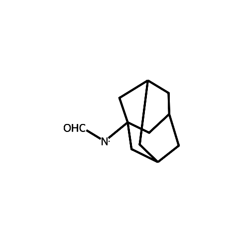 O=C[N]C12CC3CC(CC(C3)C1)C2